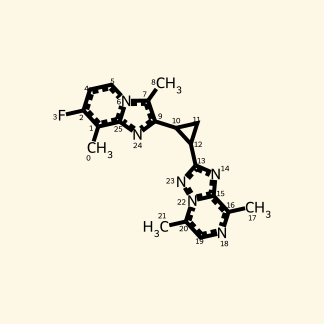 Cc1c(F)ccn2c(C)c(C3CC3c3nc4c(C)ncc(C)n4n3)nc12